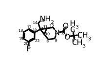 CC(C)(C)OC(=O)N1CCC2C(C1)C2(CN)c1cccc(F)c1